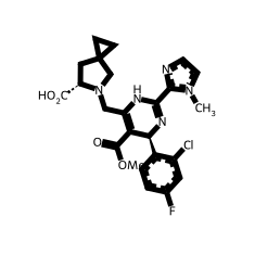 COC(=O)C1=C(CN2CC3(CC3)C[C@H]2C(=O)O)NC(c2nccn2C)=N[C@H]1c1ccc(F)cc1Cl